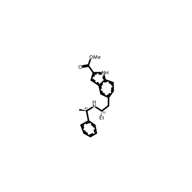 CC[C@@H](Cc1ccc2[nH]c(C(=O)OC)cc2c1)N[C@H](C)c1ccccc1